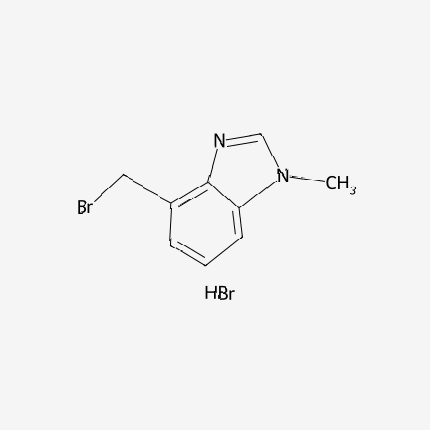 Br.Cn1cnc2c(CBr)cccc21